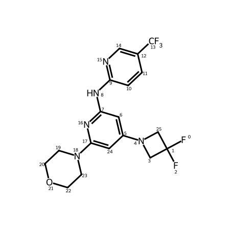 FC1(F)CN(c2cc(Nc3ccc(C(F)(F)F)cn3)nc(N3CCOCC3)c2)C1